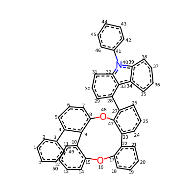 c1ccc(-c2cccc3c2-c2ccccc2Oc2ccccc2-c2cccc(-c4cccc5c4c4ccccc4n5-c4ccccc4)c2O3)cc1